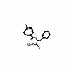 COC(=O)C(Cc1ccccc1)NC(=O)c1ccc(I)cc1